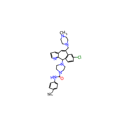 CN1CCN(CC2=Cc3cccnc3C(N3CCN(C(=O)Nc4ccc(C#N)cc4)CC3)c3ccc(Cl)cc32)CC1